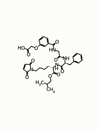 CC(C)COC(=O)[C@H](CCCCN1C(=O)C=CC1=O)NC(=O)[C@H](Cc1ccccc1)NC(=O)CNC(=O)c1cccc(OCC(=O)O)c1